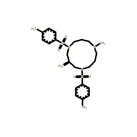 C=C1CN(S(=O)(=O)c2ccc(C)cc2)CCCN(C)CCCN(S(=O)(=O)c2ccc(C)cc2)C1